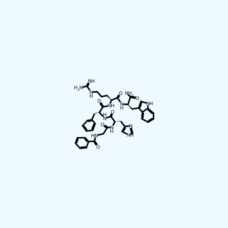 N=C(N)NCCC[C@H](NC(=O)[C@@H](Cc1ccccc1)NC(=O)[C@H](Cc1c[nH]cn1)NC(=O)CNC(=O)c1ccccc1)C(=O)N[C@H](Cc1c[nH]c2ccccc12)C(N)=O